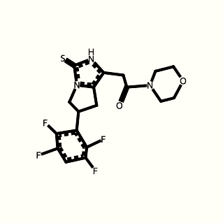 O=C(Cc1[nH]c(=S)n2c1CC(c1c(F)c(F)cc(F)c1F)C2)N1CCOCC1